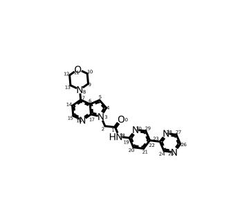 O=C(Cn1ccc2c(N3CCOCC3)ccnc21)Nc1ccc(-c2cnccn2)cn1